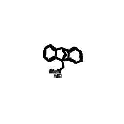 CNCC12CC(c3ccccc31)c1ccccc12.Cl